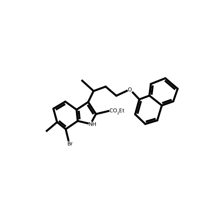 CCOC(=O)c1[nH]c2c(Br)c(C)ccc2c1C(C)CCOc1cccc2ccccc12